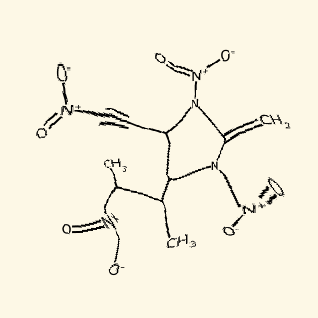 C=C1N([N+](=O)[O-])C(C#C[N+](=O)[O-])C(C(C)C(C)[N+](=O)[O-])N1[N+](=O)[O-]